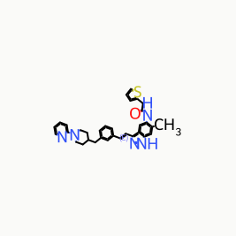 Cc1cc2[nH]nc(/C=C/c3cccc(CC4CCN(c5ccccn5)CC4)c3)c2cc1NC(=O)Cc1cccs1